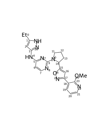 CCc1cc(Nc2ccnc(N3CCCC3c3cc(-c4cccnc4OC)no3)n2)n[nH]1